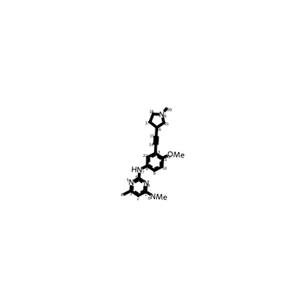 CNc1cc(C)nc(Nc2ccc(OC)c(C#CC3CCN(C)C3)c2)n1